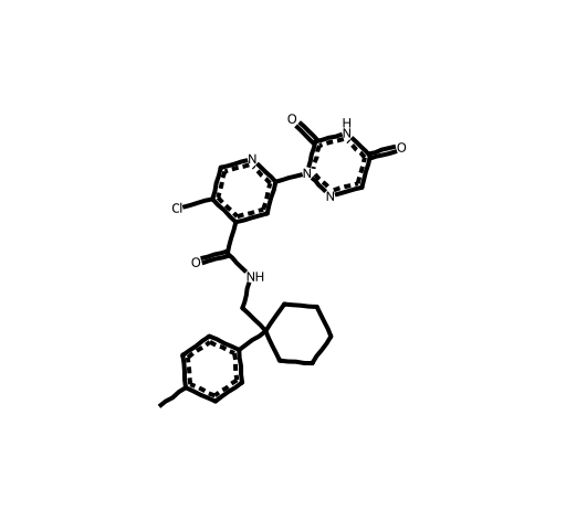 Cc1ccc(C2(CNC(=O)c3cc(-n4ncc(=O)[nH]c4=O)ncc3Cl)CCCCC2)cc1